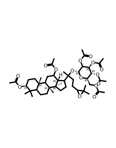 CC(=O)OC[C@H]1O[C@H](OC(C)(CCC2OC2(C)C)C2CC[C@]3(C)[C@@H]2C(OC(C)=O)CC2[C@@]4(C)CC[C@H](OC(C)=O)C(C)(C)C4CC[C@]23C)C(OC(C)=O)[C@@H](OC(C)=O)[C@@H]1OC(C)=O